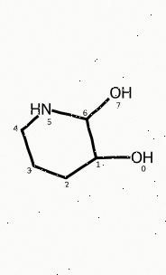 OC1CCCNC1O